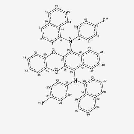 Fc1ccc(N(c2cccc3ccccc23)c2c3c(c(N(c4ccc(F)cc4)c4cccc5ccccc45)c4ccccc24)Oc2ccccc2O3)cc1